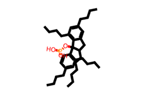 CCCCCCC1Cc2cc(CCCC)cc(CCCC)c2C1(OP(O)O)c1ccc(CCCC)cc1CCCC